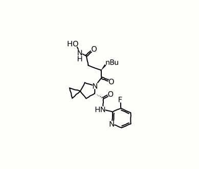 CCCC[C@H](CC(=O)NO)C(=O)N1CC2(CC2)C[C@H]1C(=O)Nc1ncccc1F